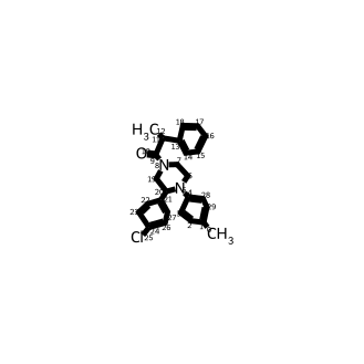 Cc1ccc(N2CCN(C(=O)C(C)c3ccccc3)CC2c2ccc(Cl)cc2)cc1